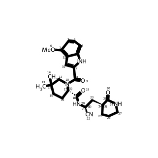 COc1cccc2[nH]c(C(=O)N3CC(C)(C)CC[C@H]3C(=O)N[C@H](C#N)C[C@@H]3CCCNC3=O)cc12